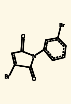 O=C1C=C(Br)C(=O)N1c1cccc(Br)c1